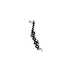 CCCCCCCCOc1ccc(OC(=O)C2CCC(c3ccc(C4CCC(C)CC4)c(F)c3F)CC2)c(F)c1